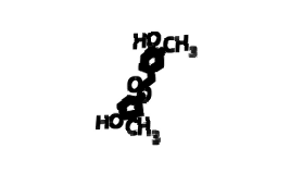 Cc1cc(CC(=O)Oc2ccc(O)c(C)c2)ccc1O